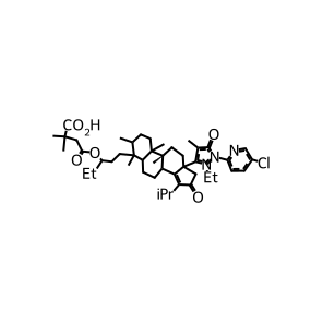 CCC(CCC1(C)C(C)CCC2(C)C1CCC1C3=C(C(C)C)C(=O)CC3(c3c(C)c(=O)n(-c4ccc(Cl)cn4)n3CC)CC[C@]12C)OC(=O)CC(C)(C)C(=O)O